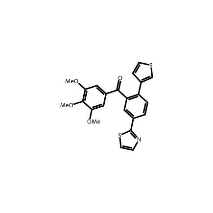 COc1cc(C(=O)c2cc(-c3nccs3)ccc2-c2ccsc2)cc(OC)c1OC